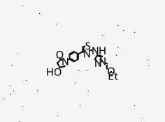 CCOCCn1cc(Nc2nc(-c3ccc(N4C[C@H](O)CC4=O)cc3)cs2)cn1